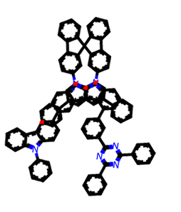 c1ccc(-c2ccc3c(c2)c2cc(-c4ccc5c(c4)c4ccccc4n5-c4ccccc4)ccc2n3-c2ccc3c(c2)C2(c4ccccc4-3)c3ccccc3-c3ccc(-n4c5ccc(-c6ccccc6)cc5c5c(-c6cccc(-c7nc(-c8ccccc8)nc(-c8ccccc8)n7)c6)cccc54)cc32)cc1